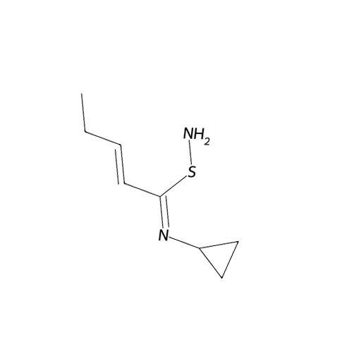 CCC=CC(=NC1CC1)SN